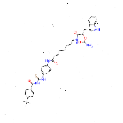 CC(C)(C)c1ccc(C(=O)NC(=S)Nc2ccc(NC(=O)CCCCCCCNC(=O)[C@H](Cc3c[nH]c4ccccc34)OC(N)=O)cc2)cc1